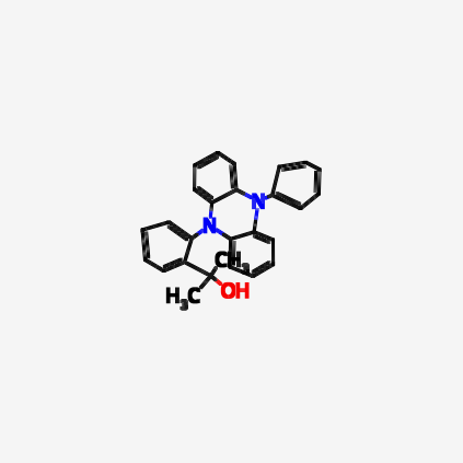 CC(C)(O)c1ccccc1N1c2ccccc2N(c2ccccc2)c2ccccc21